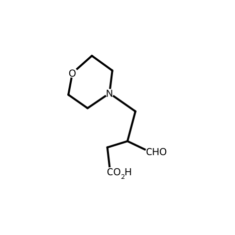 O=CC(CC(=O)O)CN1CCOCC1